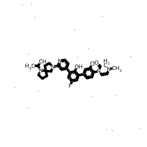 CC(C)N1CCCC12CCN(c1cc(-c3cc(F)cc(-c4ccc(N(C=O)/C=C\N(C)C)c(Cl)c4)c3O)ccn1)C2